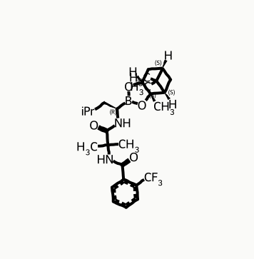 CC(C)C[C@H](NC(=O)C(C)(C)NC(=O)c1ccccc1C(F)(F)F)B1O[C@@H]2C[C@@H]3C[C@@H](C3(C)C)[C@]2(C)O1